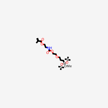 C=C(C)C(=O)OCCNC(=O)OCCOCCC[Si](OC)(O[Si](C)(C)C)O[Si](C)(C)C